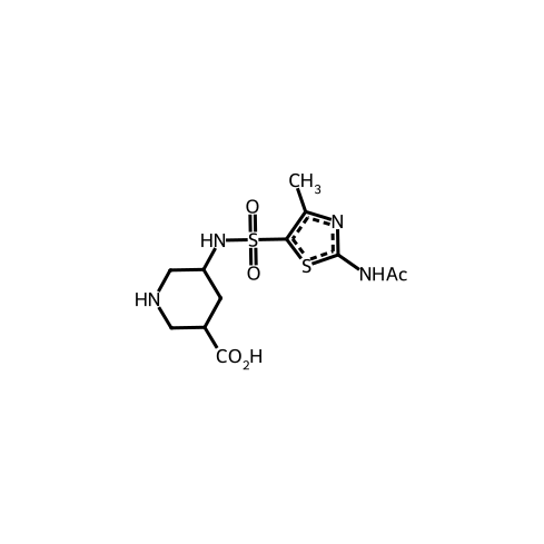 CC(=O)Nc1nc(C)c(S(=O)(=O)NC2CNCC(C(=O)O)C2)s1